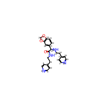 O=C(NCCc1ccncc1)C(NCCc1ccncc1)c1ccc2c(c1)OCO2